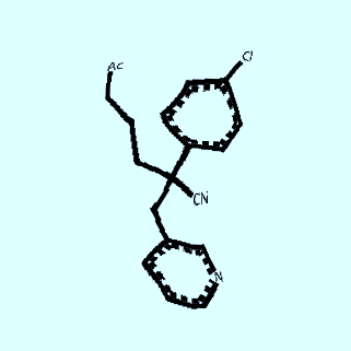 CC(=O)CCCC(C#N)(Cc1cccnc1)c1ccc(Cl)cc1